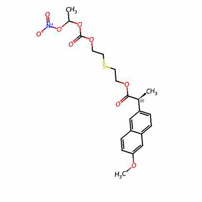 COc1ccc2cc([C@H](C)C(=O)OCCSCCOC(=O)OC(C)O[N+](=O)[O-])ccc2c1